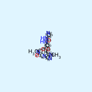 CN(C)C(=O)C1CCN(c2ccnc3c2C(/C=C2\Oc4ccc(NC(=O)Nc5cccnc5)cc4C2=O)CN3C)CC1